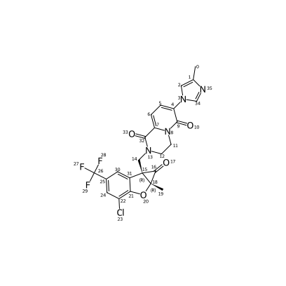 Cc1cn(-c2ccc3n(c2=O)CCN(C[C@@]24C(=O)[C@]2(C)Oc2c(Cl)cc(C(F)(F)F)cc24)C3=O)cn1